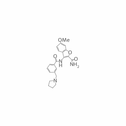 COc1ccc2c(NC(=O)c3cccc(CN4CCCC4)c3)c(C(N)=O)oc2c1